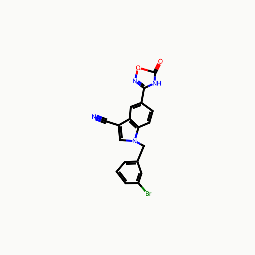 N#Cc1cn(Cc2cccc(Br)c2)c2ccc(-c3noc(=O)[nH]3)cc12